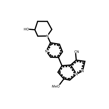 COc1cc(-c2ccc(N3CCCC(O)C3)nc2)c2c(C#N)cnn2c1